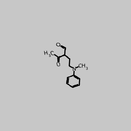 CC(=O)C(C=O)CCN(C)c1ccccc1